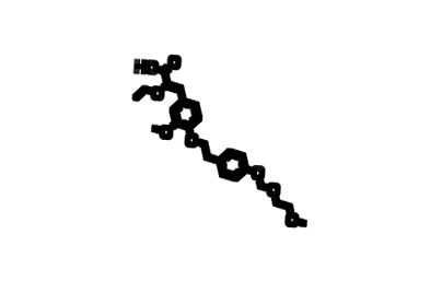 CCO/C(=C\c1ccc(OCCc2ccc(OCOCCOC)cc2)c(OC)c1)C(=O)O